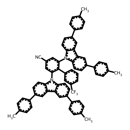 Cc1ccc(-c2ccc3c(c2)c2cc(-c4ccc(C)cc4)ccc2n3-c2cc(C#N)cc(-n3c4ccc(-c5ccc(C)cc5)cc4c4cc(-c5ccc(C)cc5)ccc43)c2-c2cccc(C(F)(F)F)c2)cc1